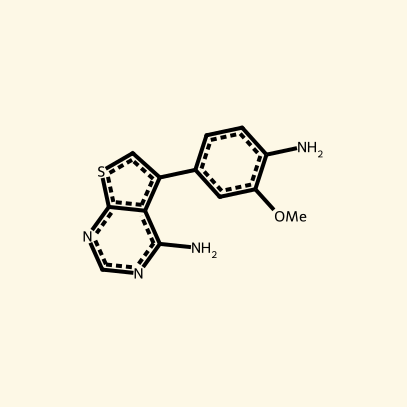 COc1cc(-c2csc3ncnc(N)c23)ccc1N